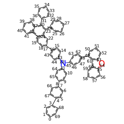 c1ccc(-c2ccc(-c3ccc(N(c4ccc(-c5ccc6c(c5)c(-c5ccccc5)c(-c5ccccc5)c5ccccc56)cc4)c4ccc(-c5cccc6oc7ccccc7c56)cc4)cc3)cc2)cc1